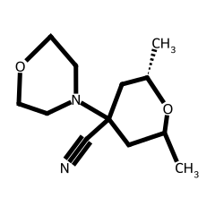 CC1CC(C#N)(N2CCOCC2)C[C@H](C)O1